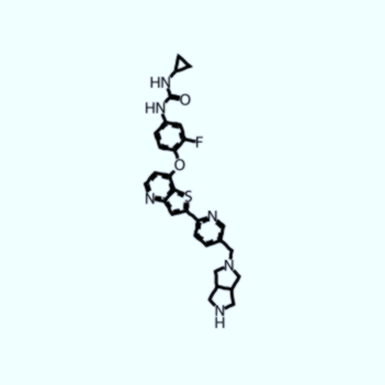 O=C(Nc1ccc(Oc2ccnc3cc(-c4ccc(CN5CC6CNCC6C5)cn4)sc23)c(F)c1)NC1CC1